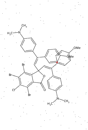 COc1ccc(C(=CC2(C=C(c3ccc(OC)cc3)c3ccc(N(C)C)cc3)OC(=O)c3c(Br)c(Cl)c(Br)c(Br)c32)c2ccc(N(C)C)cc2)cc1